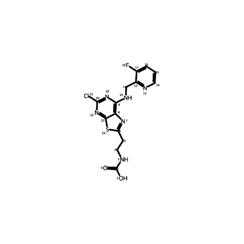 O=C(O)NCCc1nc2c(NCc3ncccc3F)nc(Cl)nc2s1